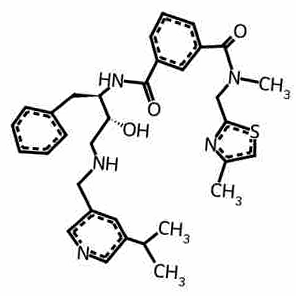 Cc1csc(CN(C)C(=O)c2cccc(C(=O)N[C@H](Cc3ccccc3)[C@H](O)CNCc3cncc(C(C)C)c3)c2)n1